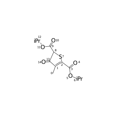 CC1=C(C(=O)OC(C)C)SC(C(=O)OC(C)C)C1=O